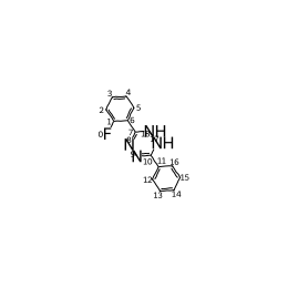 Fc1ccccc1C1=NN=C(c2ccccc2)NN1